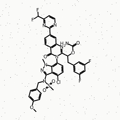 COc1ccc(CN(c2nn(C)c3c(-n4c(C(Cc5cc(F)cc(F)c5)OC(N)=O)nc5cc(-c6nccc(C(F)F)n6)ccc5c4=O)ccc(Cl)c23)S(C)(=O)=O)cc1